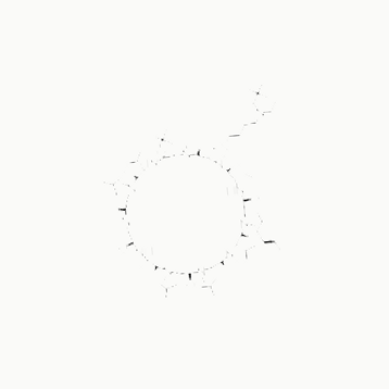 C/C=C/C[C@@H](C)C[C@H]1C(=O)N[C@@H](CC)C(=O)N(C)[C@H](CSCCCCN(CC)CC(C)(C)C)C(=O)N(C)[C@@H](CC(C)(C)O)C(=O)N[C@@H](C(C)C)C(=O)N(C)[C@@H](CC(C)C)C(=O)N[C@@H](C)C(=O)N[C@H](C)C(=O)N(C)[C@@H](CC(C)C)C(=O)N(C)[C@@H](CC(C)C)C(=O)N(C)[C@@H](C(C)C)C(=O)N1C